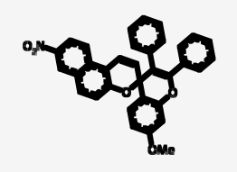 COc1ccc2c(c1)OC(c1ccccc1)=C(c1ccccc1)C21C=Cc2c(ccc3cc([N+](=O)[O-])ccc23)O1